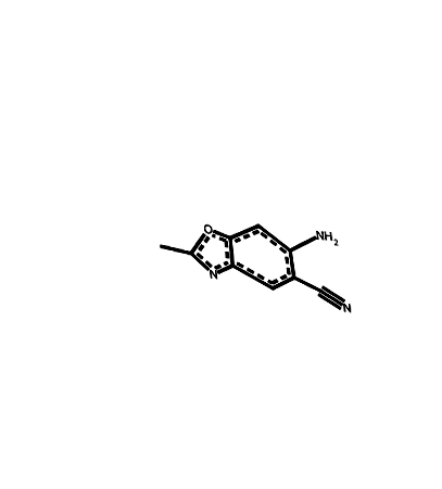 Cc1nc2cc(C#N)c(N)cc2o1